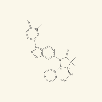 Cn1cc(-n2ncc3cc(N4C(=O)C(C)(C)[C@@H](NC(=O)O)[C@@H]4c4ccccc4)ccc32)ccc1=O